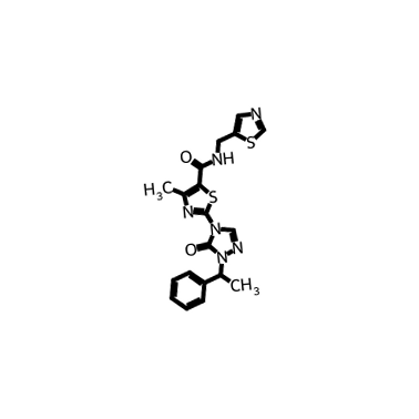 Cc1nc(-n2cnn(C(C)c3ccccc3)c2=O)sc1C(=O)NCc1cncs1